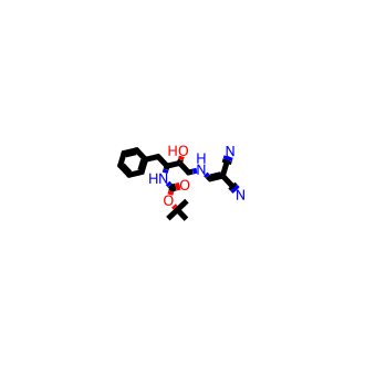 CC(C)(C)OC(=O)NC(Cc1ccccc1)C(O)CNC=C(C#N)C#N